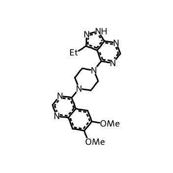 CCc1n[nH]c2ncnc(N3CCN(c4ncnc5cc(OC)c(OC)cc45)CC3)c12